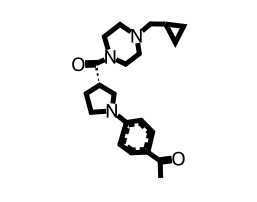 CC(=O)c1ccc(N2CC[C@H](C(=O)N3CCN(CC4CC4)CC3)C2)cc1